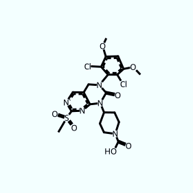 COc1cc(OC)c(Cl)c(N2Cc3cnc(S(C)(=O)=O)nc3N(C3CCN(C(=O)O)CC3)C2=O)c1Cl